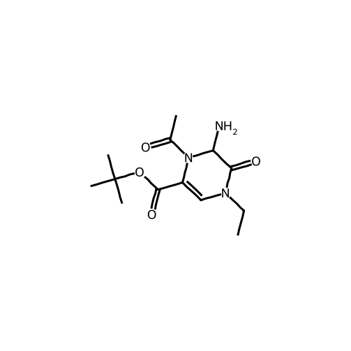 CCN1C=C(C(=O)OC(C)(C)C)N(C(C)=O)C(N)C1=O